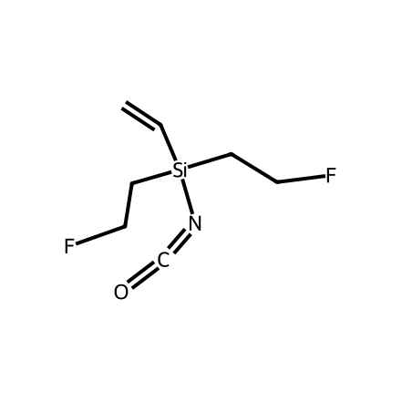 C=C[Si](CCF)(CCF)N=C=O